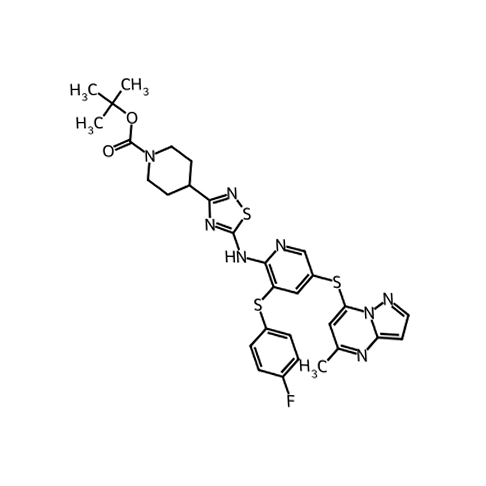 Cc1cc(Sc2cnc(Nc3nc(C4CCN(C(=O)OC(C)(C)C)CC4)ns3)c(Sc3ccc(F)cc3)c2)n2nccc2n1